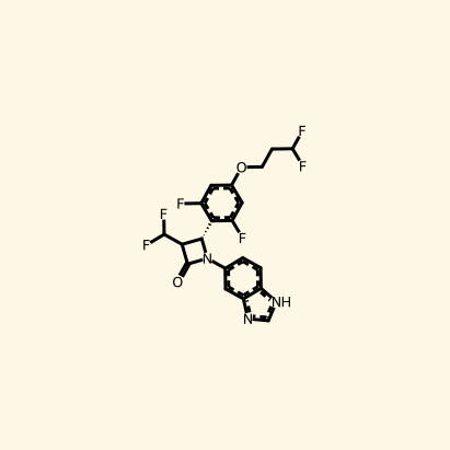 O=C1C(C(F)F)[C@H](c2c(F)cc(OCCC(F)F)cc2F)N1c1ccc2[nH]cnc2c1